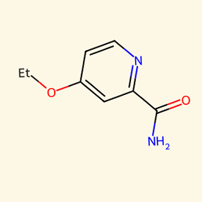 CCOc1ccnc(C(N)=O)c1